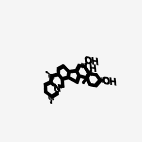 C[C@@H]1CCC2[C@H](C)C3CCC4C(CC5C4C[C@H](O)[C@H]4C[C@@H](O)CC[C@]54C)C3CN2C1